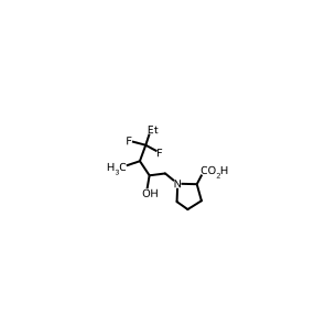 CCC(F)(F)C(C)C(O)CN1CCCC1C(=O)O